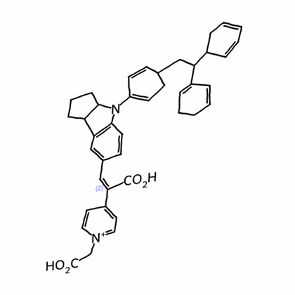 O=C(O)C[n+]1ccc(/C(=C/c2ccc3c(c2)C2CCCC2N3C2=CCC(CC(C3=CCCC=C3)C3C=CC=CC3)C=C2)C(=O)O)cc1